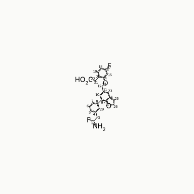 N[C@@H](F)Cc1cccc(-c2cc(COc3cc(F)ccc3CC(=O)O)cc3ccoc23)c1